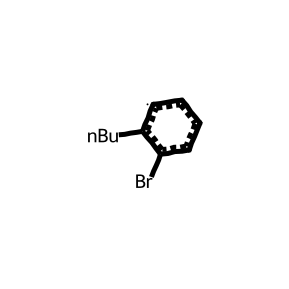 CCCCc1[c]cccc1Br